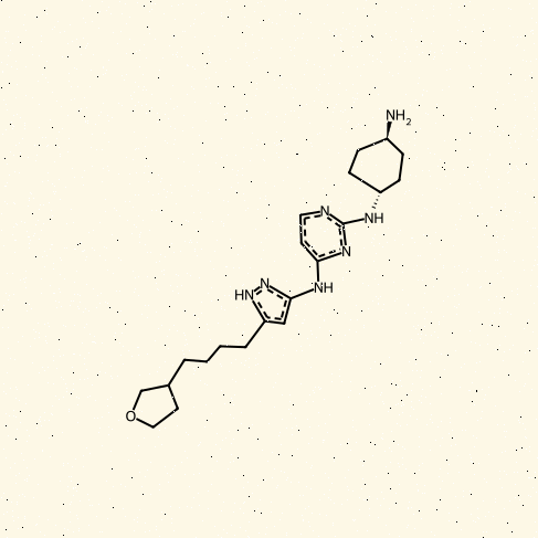 N[C@H]1CC[C@H](Nc2nccc(Nc3cc(CCCCC4CCOC4)[nH]n3)n2)CC1